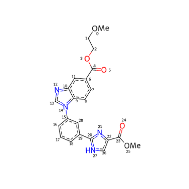 COCCOC(=O)c1ccc2c(c1)ncn2-c1cccc(-c2nc(C(=O)OC)c[nH]2)c1